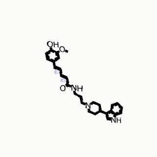 COc1cc(/C=C/C=C/C(=O)NCCCN2CCC(c3c[nH]c4ccccc34)CC2)ccc1O